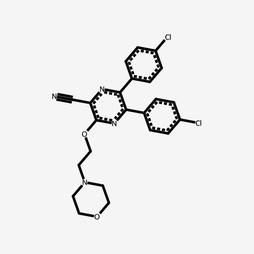 N#Cc1nc(-c2ccc(Cl)cc2)c(-c2ccc(Cl)cc2)nc1OCCN1CCOCC1